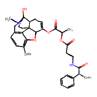 COc1ccc2c3c1OC1C(OC(=O)C(C)OC(=O)CCNC(=O)[C@@H](OC(C)=O)c4ccccc4)=CCC4C31CCN(C)C4(O)C2